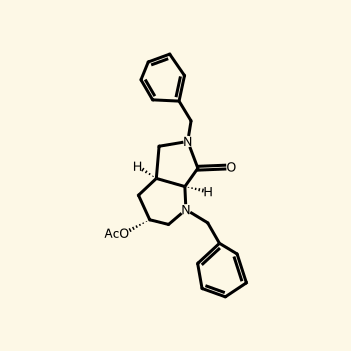 CC(=O)O[C@@H]1C[C@H]2CN(Cc3ccccc3)C(=O)[C@H]2N(Cc2ccccc2)C1